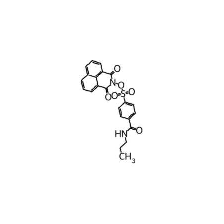 CCCNC(=O)c1ccc(S(=O)(=O)ON2C(=O)c3cccc4cccc(c34)C2=O)cc1